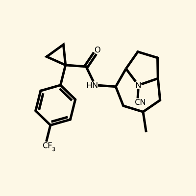 CC1CC(NC(=O)C2(c3ccc(C(F)(F)F)cc3)CC2)C2CCC(C1)N2C#N